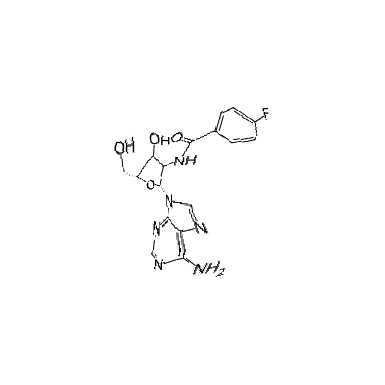 Nc1ncnc2c1ncn2[C@@H]1O[C@H](CO)C(O)C1NC(=O)c1ccc(F)cc1